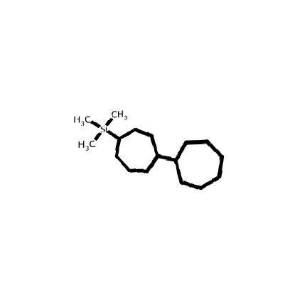 C[Si](C)(C)C1CCCC(C2CCCCCC2)CC1